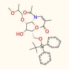 COC(C)CO[C@H]1C(O)[C@@H](CO[Si](c2ccccc2)(c2ccccc2)C(C)(C)C)O[C@H]1N(/C=C(/C)C(C)=O)C(C)=O